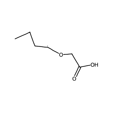 CCC[CH]OCC(=O)O